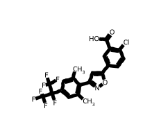 Cc1cc(C(F)(C(F)(F)F)C(F)(F)F)cc(C)c1-c1cc(-c2ccc(Cl)c(C(=O)O)c2)on1